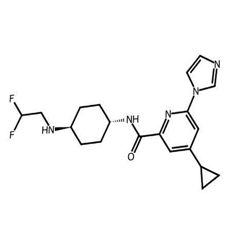 O=C(N[C@H]1CC[C@H](NCC(F)F)CC1)c1cc(C2CC2)cc(-n2ccnc2)n1